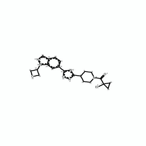 CCC1(C(=O)N2CCC(c3noc(-c4ccc5cnn(C6COC6)c5c4)n3)CC2)CC1